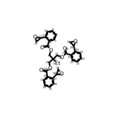 CCC(COC(=O)c1ccccc1C1CO1)(COC(=O)c1ccccc1C1CO1)COC(=O)c1ccccc1C1CO1